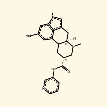 CN1C[C@H](C(=O)Nc2cnccn2)CC2c3cc(C(C)(C)C)cc4[nH]cc(c34)C[C@H]21